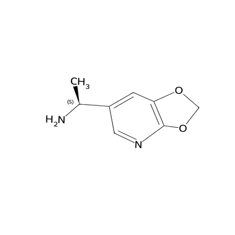 C[C@H](N)c1cnc2c(c1)OCO2